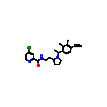 COc1ccc(C(C)N2CCCC2CCNC(=O)c2cc(Cl)ccn2)c(C)c1C